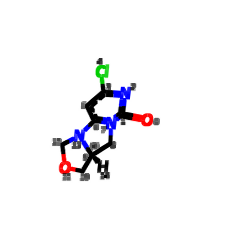 O=c1nc(Cl)cc2n1C[C@@H]1COCN21